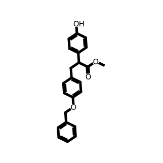 COC(=O)C(Cc1ccc(OCc2ccccc2)cc1)c1ccc(O)cc1